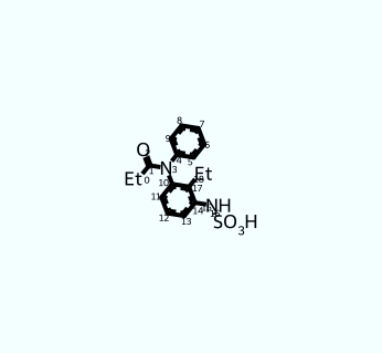 CCC(=O)N(c1ccccc1)c1cccc(NS(=O)(=O)O)c1CC